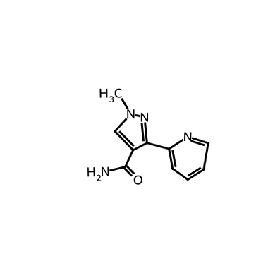 Cn1cc(C(N)=O)c(-c2ccccn2)n1